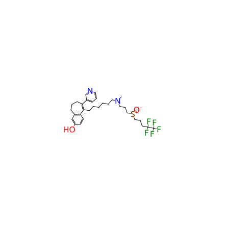 CN(CCCCCCC1=C(c2cccnc2)CCCc2cc(O)ccc21)CCC[S+]([O-])CCCC(F)(F)C(F)(F)F